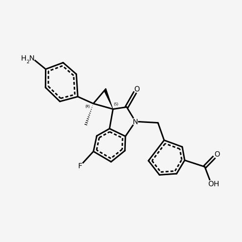 C[C@]1(c2ccc(N)cc2)C[C@]12C(=O)N(Cc1cccc(C(=O)O)c1)c1ccc(F)cc12